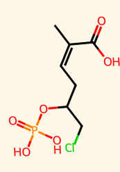 CC(=CCC(CCl)OP(=O)(O)O)C(=O)O